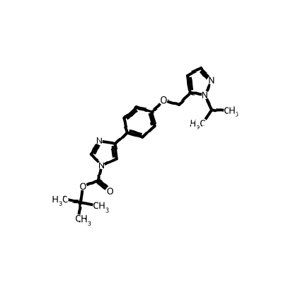 CC(C)n1nccc1COc1ccc(-c2cn(C(=O)OC(C)(C)C)cn2)cc1